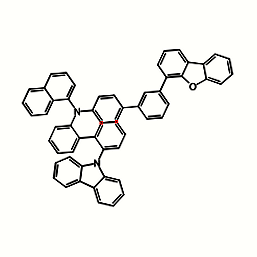 c1cc(-c2ccc(N(c3ccccc3-c3ccccc3-n3c4ccccc4c4ccccc43)c3cccc4ccccc34)cc2)cc(-c2cccc3c2oc2ccccc23)c1